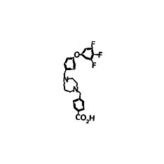 O=C(O)c1ccc(CN2CCCN(Cc3ccc(Oc4cc(F)c(F)c(F)c4)cc3)CC2)cc1